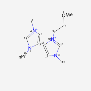 CCCn1cc[n+](C)c1.COCC[n+]1ccn(C)c1